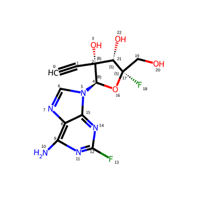 C#C[C@]1(O)[C@H](n2cnc3c(N)nc(F)nc32)O[C@](F)(CO)[C@H]1O